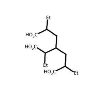 CCC(CC(CC(CC)C(=O)O)C(CC)C(=O)O)C(=O)O